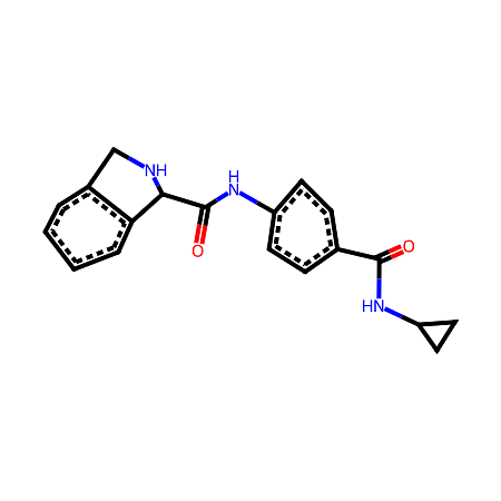 O=C(NC1CC1)c1ccc(NC(=O)C2NCc3ccccc32)cc1